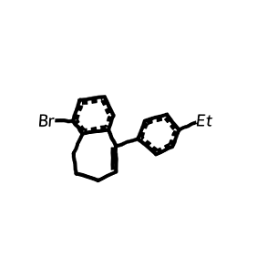 CCc1ccc(C2=CCCCc3c(Br)cccc32)cc1